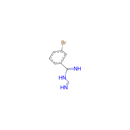 N=CNC(=N)c1cccc(Br)c1